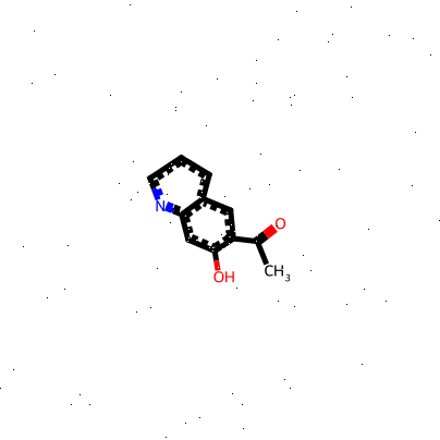 CC(=O)c1cc2cccnc2cc1O